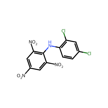 O=[N+]([O-])c1cc([N+](=O)[O-])c(Nc2ccc(Cl)cc2Cl)c([N+](=O)[O-])c1